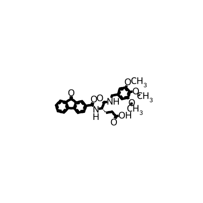 COc1cc(CNC(=O)[C@H](CCC(=O)O)NC(=O)c2ccc3c(c2)C(=O)c2ccccc2-3)cc(OC)c1OC